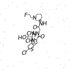 CC(C)(O)c1nn(CC(=O)N[C@@H]2CCCN(CCF)C2)c(=O)c2cc3sc(Cl)cc3n12